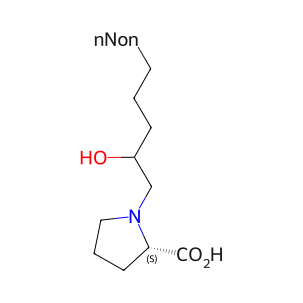 CCCCCCCCCCCCC(O)CN1CCC[C@H]1C(=O)O